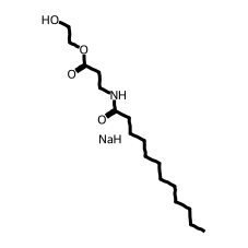 CCCCCCCCCCCC(=O)NCCC(=O)OCCO.[NaH]